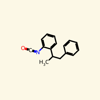 CC(Cc1ccccc1)c1ccccc1N=C=O